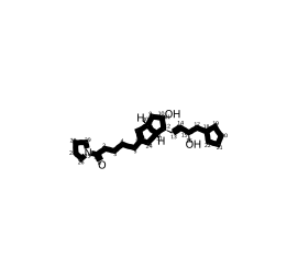 O=C(CCCCC1=C[C@H]2C[C@@H](O)[C@H](/C=C/[C@@H](O)CC3CCCC3)[C@H]2C1)N1CCCC1